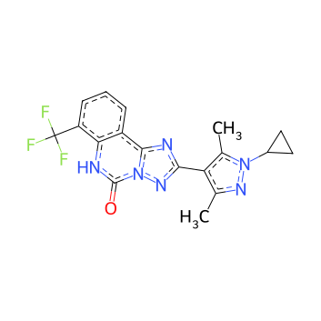 Cc1nn(C2CC2)c(C)c1-c1nc2c3cccc(C(F)(F)F)c3[nH]c(=O)n2n1